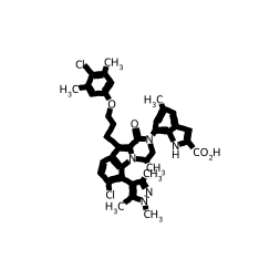 Cc1cc(N2CC(C)n3c(c(CCCOc4cc(C)c(Cl)c(C)c4)c4ccc(Cl)c(-c5c(C)nn(C)c5C)c43)C2=O)c2[nH]c(C(=O)O)cc2c1